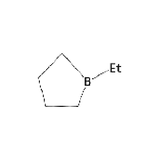 CCB1CCCC1